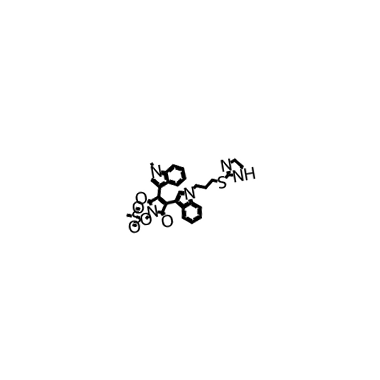 Cn1cc(C2=C(c3cn(CCCSC4=NCCN4)c4ccccc34)C(=O)N(OS(C)(=O)=O)C2=O)c2ccccc21